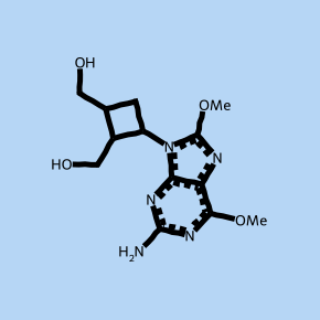 COc1nc(N)nc2c1nc(OC)n2C1CC(CO)C1CO